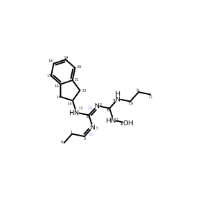 CC/C=N\C(=N/C(NO)NCCC)NC1Cc2ccccc2C1